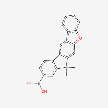 CC1(C)c2cc(B(O)O)ccc2-c2cc3c(cc21)oc1ccccc13